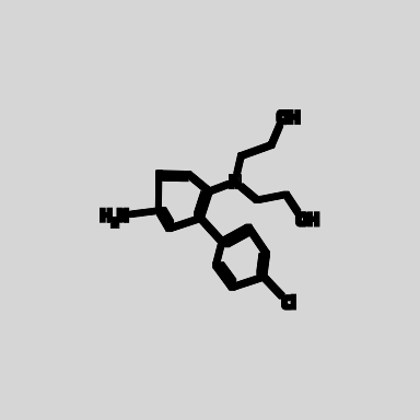 Nc1ccc(N(CCO)CCO)c(-c2ccc(Cl)cc2)c1